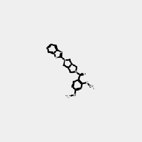 COc1ccc(C(=O)N2CC3CN(c4nc5ccccc5s4)CC3C2)c(OC)c1